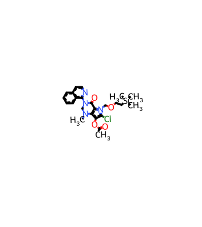 CC(=O)Oc1c2c(n(COCC[Si](C)(C)C)c1Cl)C(=O)N(c1nccc3ccccc13)CN2C